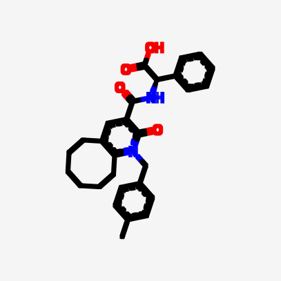 Cc1ccc(Cn2c3c(cc(C(=O)N[C@@H](C(=O)O)c4ccccc4)c2=O)CCCCCC3)cc1